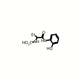 CCC(NC(=O)O)C(=O)Nc1ccccc1O